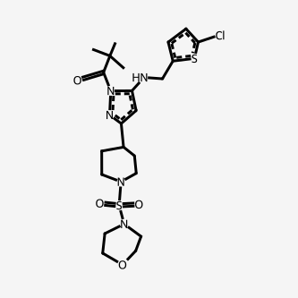 CC(C)(C)C(=O)n1nc(C2CCN(S(=O)(=O)N3CCOCC3)CC2)cc1NCc1ccc(Cl)s1